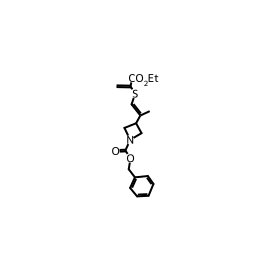 C=C(S/C=C(\C)C1CN(C(=O)OCc2ccccc2)C1)C(=O)OCC